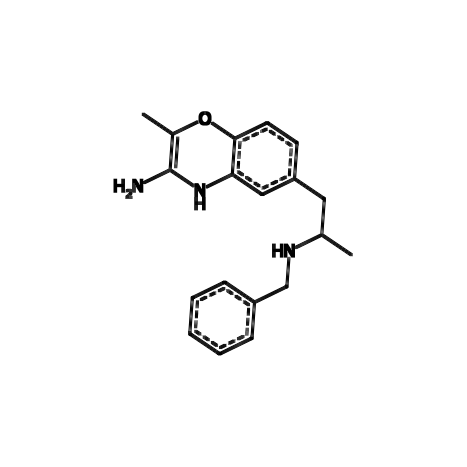 CC1=C(N)Nc2cc(CC(C)NCc3ccccc3)ccc2O1